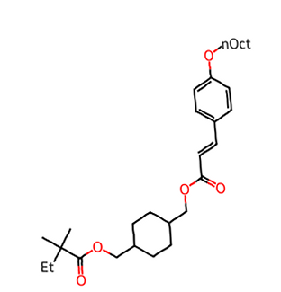 CCCCCCCCOc1ccc(/C=C/C(=O)OCC2CCC(COC(=O)C(C)(C)CC)CC2)cc1